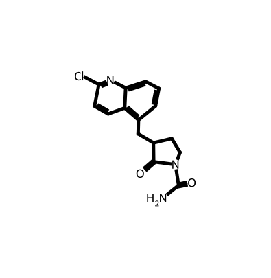 NC(=O)N1CC[C](Cc2cccc3nc(Cl)ccc23)C1=O